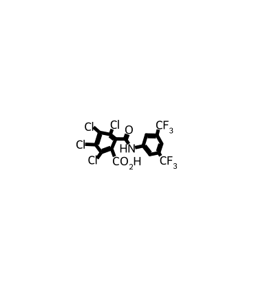 O=C(O)c1c(Cl)c(Cl)c(Cl)c(Cl)c1C(=O)Nc1cc(C(F)(F)F)cc(C(F)(F)F)c1